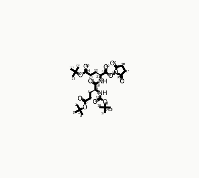 CC(C)(C)OC(=O)CC[C@H](NC(=O)OC(C)(C)C)C(=O)N[C@@H](CCC(=O)OC(C)(C)C)C(=O)ON1C(=O)CCC1=O